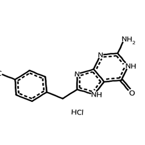 Cc1ccc(Cc2nc3nc(N)[nH]c(=O)c3[nH]2)cc1.Cl